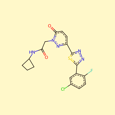 O=C(Cn1nc(-c2nnc(-c3cc(Cl)ccc3F)s2)ccc1=O)NC1CCC1